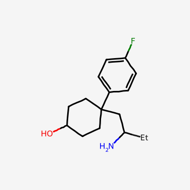 CCC(N)CC1(c2ccc(F)cc2)CCC(O)CC1